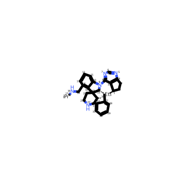 CC[C@@H]1CCc2ncnc(N3c4cccc(CNC(C)C)c4C4(CCNCC4)[C@H]3Cc3ccccc3)c21